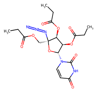 CCC(=O)OC[C@@]1(N=[N+]=[N-])O[C@@H](n2ccc(=O)[nH]c2=O)[C@H](OC(=O)CC)[C@@H]1OC(=O)CC